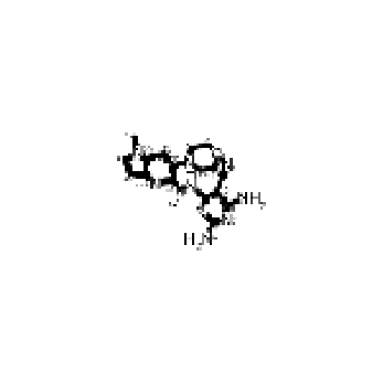 C[C@@H](Nc1nc(N)nc(N)c1C#N)c1nc2ccn(C)c2cc1N1CCOCC1